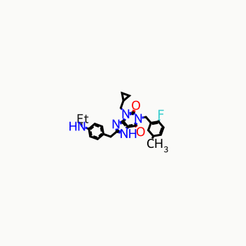 CCNc1ccc(Cc2nc3c([nH]2)c(=O)n(CC2=C(F)C=CC(C)C2)c(=O)n3CC2CC2)cc1